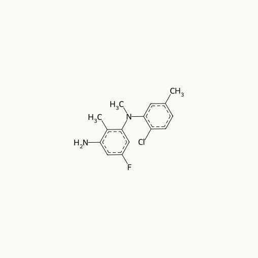 Cc1ccc(Cl)c(N(C)c2cc(F)cc(N)c2C)c1